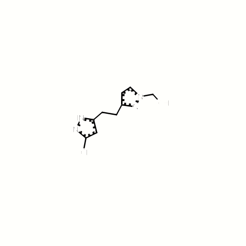 CCn1ccc(CCc2cc(C)n[nH]2)n1